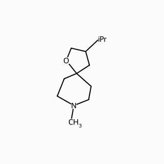 CC(C)C1COC2(CCN(C)CC2)C1